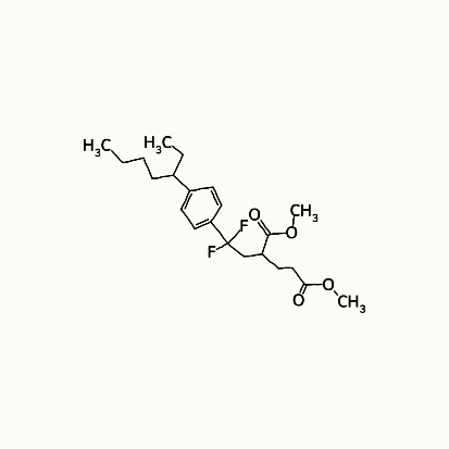 CCCCC(CC)c1ccc(C(F)(F)CC(CCC(=O)OC)C(=O)OC)cc1